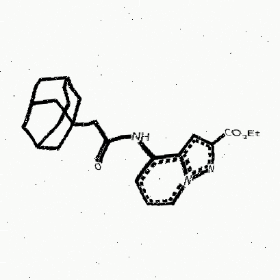 CCOC(=O)c1cc2c(NC(=O)CC34CC5CC(CC(C5)C3)C4)cccn2n1